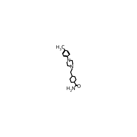 Cc1ccc(N2CCN(CCC3CCC(C(N)=O)CC3)CC2)cc1